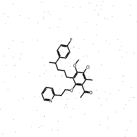 COc1c(Cl)c(C)c(C(C)=O)c(OCCc2ccccn2)c1CCCC(C)c1ccc(F)cc1